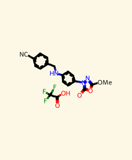 COc1nn(-c2ccc(NCc3ccc(C#N)cc3)cc2)c(=O)o1.O=C(O)C(F)(F)F